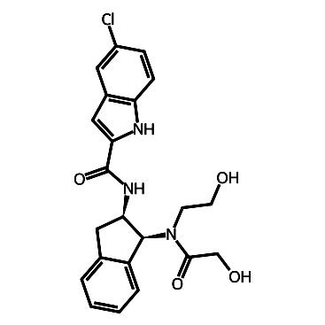 O=C(N[C@@H]1Cc2ccccc2[C@@H]1N(CCO)C(=O)CO)c1cc2cc(Cl)ccc2[nH]1